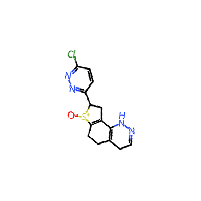 [O-][S+]1C2=C(CC1c1ccc(Cl)nn1)C1=C(CC=NN1)CC2